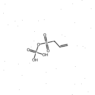 C=CCS(=O)(=O)OP(=O)(O)O